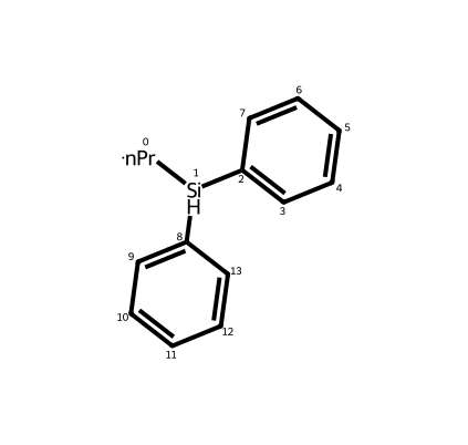 CC[CH][SiH](c1ccccc1)c1ccccc1